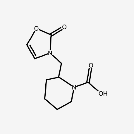 O=C(O)N1CCCCC1Cn1ccoc1=O